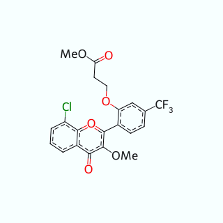 COC(=O)CCOc1cc(C(F)(F)F)ccc1-c1oc2c(Cl)cccc2c(=O)c1OC